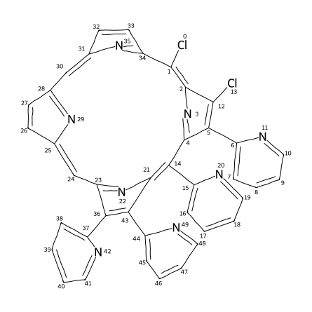 ClC1=C2N=C(C(c3ccccn3)=C2Cl)C(c2ccccn2)=C2N=C(C=C3C=CC(=N3)C=C3C=CC1=N3)C(c1ccccn1)=C2c1ccccn1